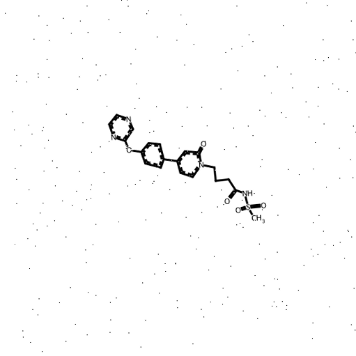 CS(=O)(=O)NC(=O)CCCn1ccc(-c2ccc(Oc3cnccn3)cc2)cc1=O